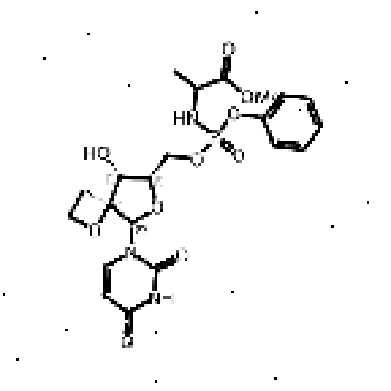 COC(=O)C(C)NP(=O)(OC[C@H]1O[C@@H](n2ccc(=O)[nH]c2=O)[C@]2(CCO2)[C@@H]1O)Oc1ccccc1